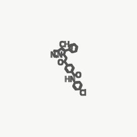 CC1=C(c2ccccc2)C(CC(=O)c2ccc(C(=O)Nc3ccc(Cl)cc3)cc2)n2cncc21